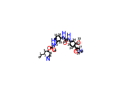 CCCCC(CC#N)OC(=O)NCc1cccc(NC(=O)Nc2ccc(-c3cnco3)c(OC)c2)c1